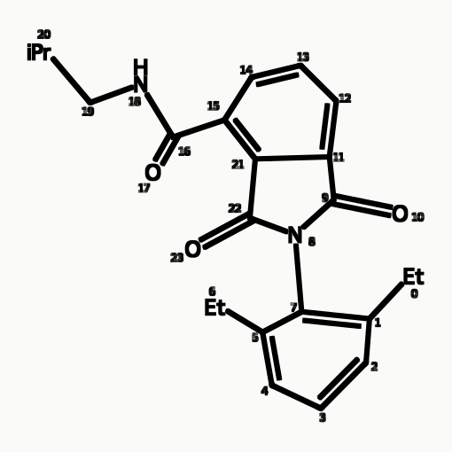 CCc1cccc(CC)c1N1C(=O)c2cccc(C(=O)NCC(C)C)c2C1=O